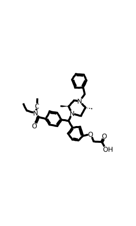 CCN(CC)C(=O)c1ccc(C(c2cccc(OCC(=O)O)c2)N2C[C@@H](C)N(Cc3ccccc3)C[C@@H]2C)cc1